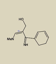 CN/C=C(/CO)C(=N)C1=CC=CCC1